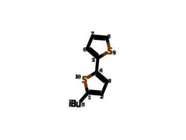 CCC(C)c1ccc(-c2cccs2)s1